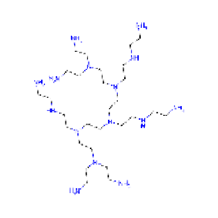 NCCNCCN(CCN(CCN)CCN)CCN(CCNCCN)CCN(CCNCCN)CCN(CCN)CCN